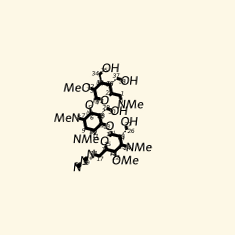 CNCC1O[C@H](O[C@@H]2C(NC)C[C@@H](NC)C(O[C@H]3OC(CN=[N+]=[N-])[C@@H](OC)C(NC)[C@H]3CO)[C@H]2CO)C(OC)[C@@H](CO)[C@@H]1CO